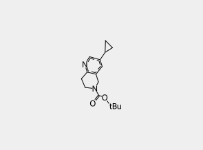 CC(C)(C)OC(=O)N1CCc2ncc(C3CC3)cc2C1